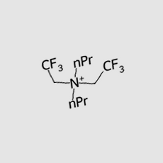 CCC[N+](CCC)(CC(F)(F)F)CC(F)(F)F